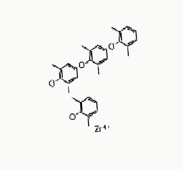 Cc1cccc(C)c1[O-].Cc1cccc(C)c1[O-].Cc1cccc(C)c1[O-].Cc1cccc(C)c1[O-].[Zr+4]